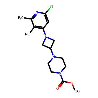 CC(C)(C)OC(=O)N1CCN(C2CN(c3cc(Cl)nc(C(F)(F)F)c3C#N)C2)CC1